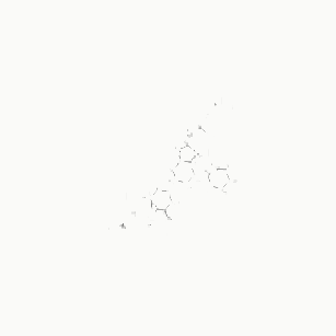 CCOC(=O)Nc1nc2cc(-c3cc(C)n(C(C)COC)c(=O)c3)cc(-c3ccccn3)c2[nH]1